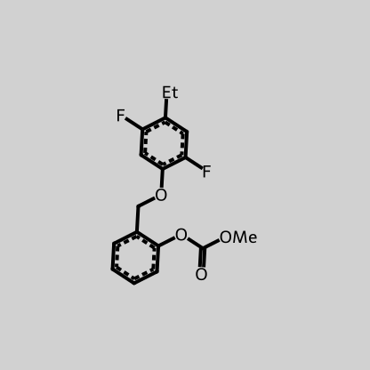 CCc1cc(F)c(OCc2ccccc2OC(=O)OC)cc1F